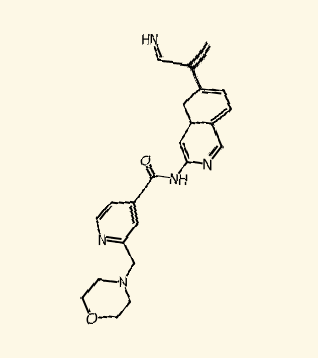 C=C(C=N)C1=CC=C2C=NC(NC(=O)c3ccnc(CN4CCOCC4)c3)=CC2C1